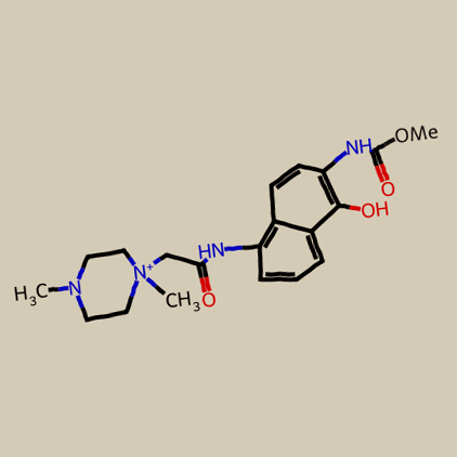 COC(=O)Nc1ccc2c(NC(=O)C[N+]3(C)CCN(C)CC3)cccc2c1O